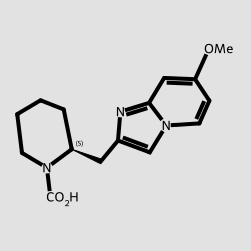 COc1ccn2cc(C[C@@H]3CCCCN3C(=O)O)nc2c1